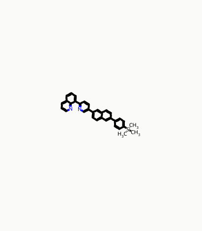 C[Si](C)(C)c1ccc(-c2ccc3cc(-c4ccc(-c5cccc6cccnc56)nc4)ccc3c2)cc1